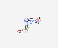 CC(C)(C)OC(=O)N1CCC12CN(c1ccc3ncnc(Nc4ccc(OC[C@H]5CCOC5)c(Cl)c4F)c3n1)C2